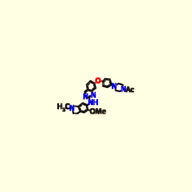 COc1cc2c(cc1Nc1ncc3ccc(Oc4ccc(N5CCN(C(C)=O)CC5)cc4)cc3n1)CN(C)CC2